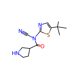 CC(C)(C)c1cnc(N(C#N)C(=O)C2CCNC2)s1